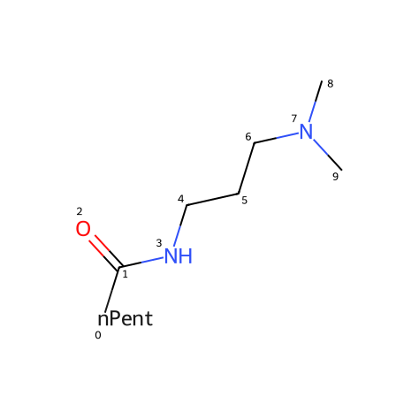 CCCCCC(=O)NCCCN(C)C